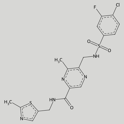 Cc1ncc(CNC(=O)c2cnc(CNS(=O)(=O)c3ccc(Cl)c(F)c3)c(C)n2)s1